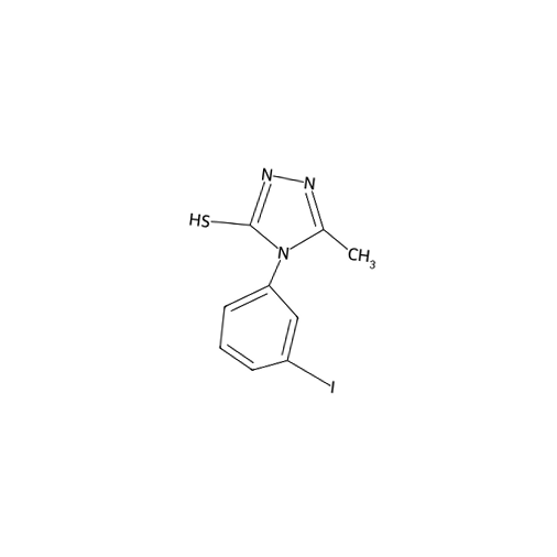 Cc1nnc(S)n1-c1cccc(I)c1